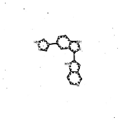 c1cc2[nH]c(-c3n[nH]c4ccc(-c5cn[nH]c5)cc34)cc2cn1